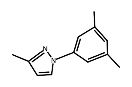 Cc1cc(C)cc(-n2ccc(C)n2)c1